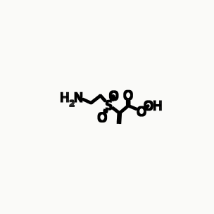 C=C(C(=O)OO)S(=O)(=O)CCN